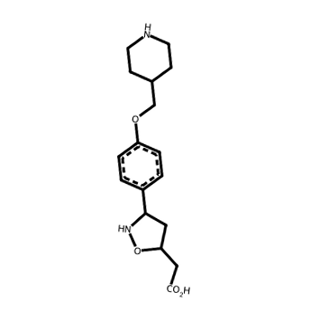 O=C(O)CC1CC(c2ccc(OCC3CCNCC3)cc2)NO1